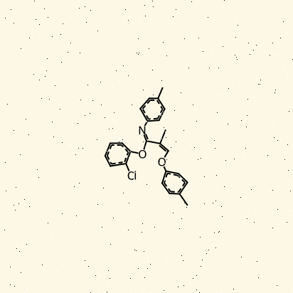 CC(=COc1ccc(C)cc1)C(=Nc1ccc(C)cc1)Oc1ccccc1Cl